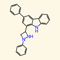 c1ccc(-c2cc(C3CN(c4ccccc4)N3)c3[nH]c4ccccc4c3c2)cc1